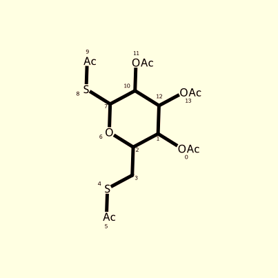 CC(=O)OC1C(CSC(C)=O)OC(SC(C)=O)C(OC(C)=O)C1OC(C)=O